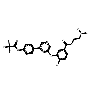 CN(C)CCNC(=O)c1ccc(Cl)c(Nc2cncc(-c3ccc(OC(=O)C(F)(F)F)cc3)n2)c1